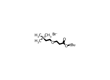 CC(C)(C)OC(=O)CCOCC[N+](C)(C)C.[Br-]